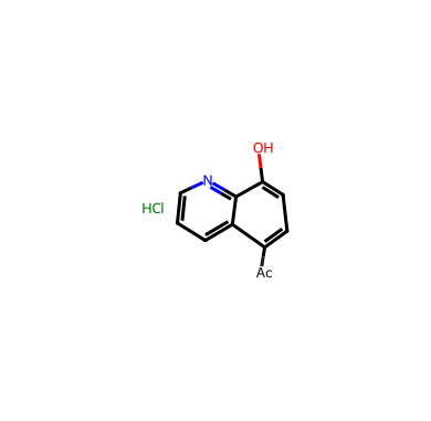 CC(=O)c1ccc(O)c2ncccc12.Cl